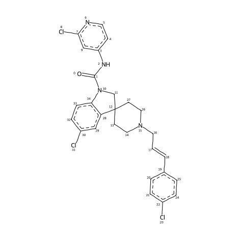 O=C(Nc1ccnc(Cl)c1)N1CC2(CCN(C/C=C/c3ccc(Cl)cc3)CC2)c2cc(Cl)ccc21